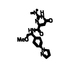 COCC(NC(=O)c1cc(=O)[nH]c(N(C)C)n1)c1ccc(-n2cccn2)cc1